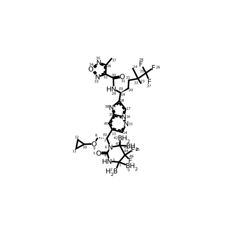 BC1(B)NC(=O)N([C@H](COC2CC2)c2cnn3cc([C@H](CCC(C)(C)C(F)(F)F)NC(=O)c4nonc4C)nc3c2)C(B)(B)C1(F)F